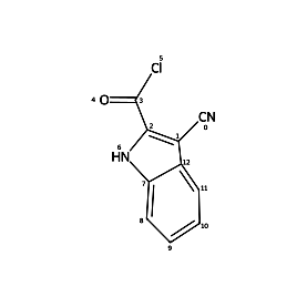 N#Cc1c(C(=O)Cl)[nH]c2ccccc12